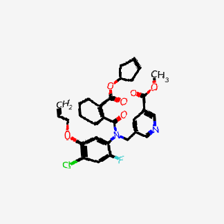 C=CCOc1cc(N(Cc2cncc(C(=O)OC)c2)C(=O)C2=C(C(=O)OC3CCCC3)CCCC2)c(F)cc1Cl